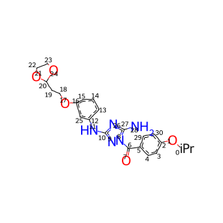 CC(C)Oc1ccc(C(=O)n2nc(Nc3cccc(OCCC4OCCO4)c3)nc2N)cc1